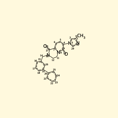 Cc1cn(-c2ccc3n(c2=O)CCN(Cc2cccc(-c4ccccc4)c2)C3=O)cn1